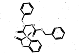 C[N+]1(C(=O)[C@H](Cc2ccccc2)NC(=O)OCc2ccccc2)C(=O)Sc2ccccc21